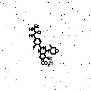 CCNC(=O)Nc1ccc(-c2nc3c(c(N4CCOCC4C)n2)C(CC)N(C(=O)O)C3)c(F)c1